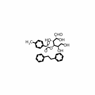 Cc1ccc(S(=O)(=O)O[C@@H]([C@H](O)[C@@H](O)C=O)[C@H](O)CO)cc1.c1ccc(CCc2ccccc2)cc1